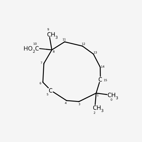 CC1(C)CCCCCC(C)(C(=O)O)CCCCC1